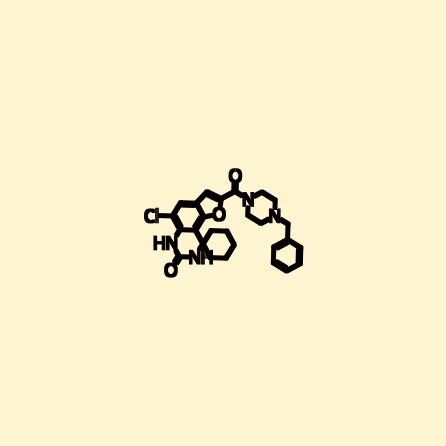 O=C1Nc2c(Cl)cc3cc(C(=O)N4CCN(Cc5ccccc5)CC4)oc3c2C2(CCCCC2)N1